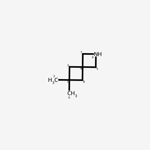 CC1(C)CC2(CNC2)C1